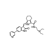 CCN(CC)CCNC(=O)c1[nH]c(C=C2C(=O)Nc3cc(-c4cccnc4)ccc32)c2c1CCCC2